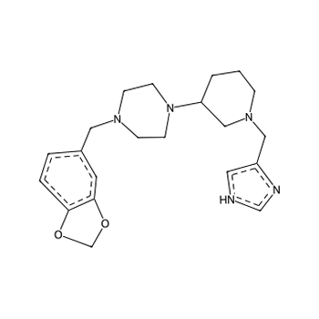 c1nc(CN2CCCC(N3CCN(Cc4ccc5c(c4)OCO5)CC3)C2)c[nH]1